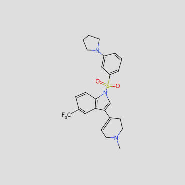 CN1CC=C(c2cn(S(=O)(=O)c3cccc(N4CCCC4)c3)c3ccc(C(F)(F)F)cc23)CC1